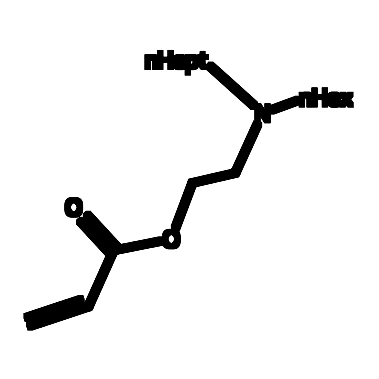 C=CC(=O)OCCN(CCCCCC)CCCCCCC